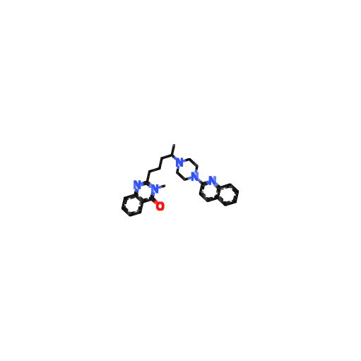 CC(CCCc1nc2ccccc2c(=O)n1C)N1CCN(c2ccc3ccccc3n2)CC1